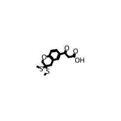 CSC1(SC)COc2ccc(C(=O)CC(=O)O)cc2C1